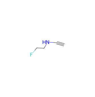 C#CNCCF